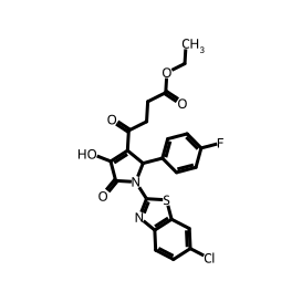 CCOC(=O)CCC(=O)C1=C(O)C(=O)N(c2nc3ccc(Cl)cc3s2)C1c1ccc(F)cc1